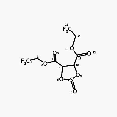 O=C(OCC(F)(F)F)C1OS(=O)OC1C(=O)OCC(F)(F)F